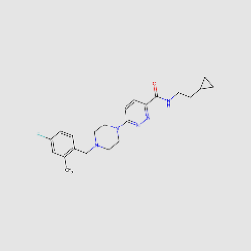 O=C(NCCC1CC1)c1ccc(N2CCN(Cc3ccc(F)cc3C(F)(F)F)CC2)nn1